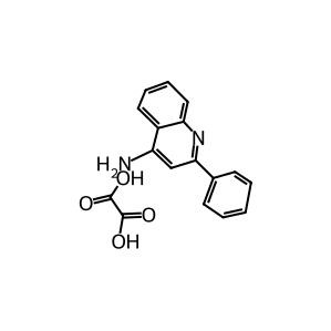 Nc1cc(-c2ccccc2)nc2ccccc12.O=C(O)C(=O)O